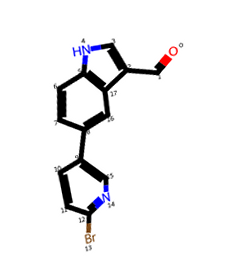 O=Cc1c[nH]c2ccc(-c3ccc(Br)nc3)cc12